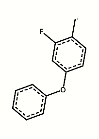 [CH2]c1ccc(Oc2ccccc2)cc1F